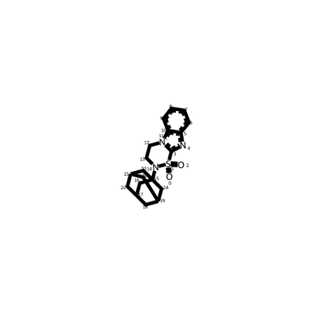 O=S1(=O)c2nc3ccccc3n2CCN1C12CC3CC(CC(C3)C1)C2